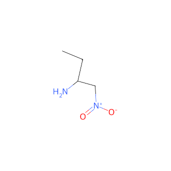 CCC(N)C[N+](=O)[O-]